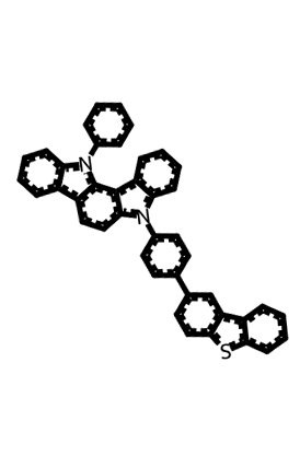 c1ccc(-n2c3ccccc3c3ccc4c(c5ccccc5n4-c4ccc(-c5ccc6sc7ccccc7c6c5)cc4)c32)cc1